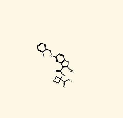 Cc1sc2ccc(OCc3ccccc3F)cc2c1C(=O)NC1(C(N)=O)COC1